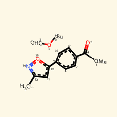 CC(C)(C)OC=O.COC(=O)c1ccc(-c2cc(C)no2)cc1